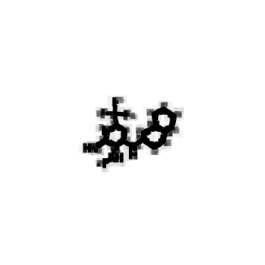 N=c1nc(C(F)(F)F)cc(Nc2ccc3ccccc3c2)n1NI